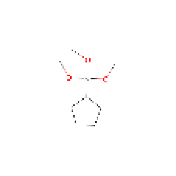 CO[Si](OC)(OC)C1CCCC1